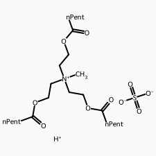 CCCCCC(=O)OCC[N+](C)(CCOC(=O)CCCCC)CCOC(=O)CCCCC.O=S(=O)([O-])[O-].[H+]